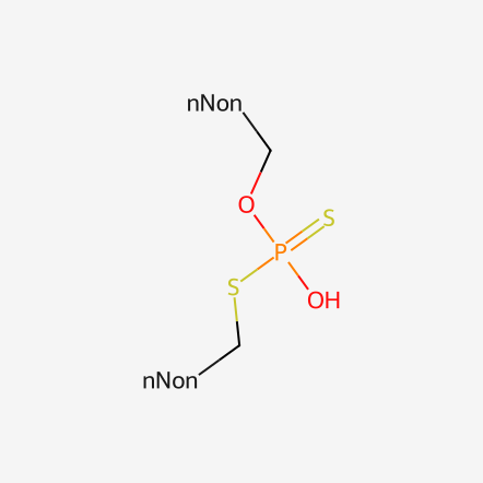 CCCCCCCCCCOP(O)(=S)SCCCCCCCCCC